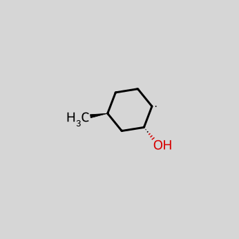 C[C@H]1CC[CH][C@H](O)C1